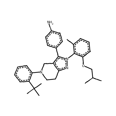 Cc1cccc(OCC(C)C)c1-n1nc2c(c1-c1ccc(N)cc1)CN(c1ccccc1C(C)(C)C)CC2